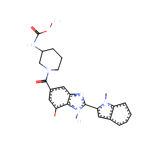 CCn1c(-c2nc3cc(C(=O)N4CCCC(NC(=O)OC(C)(C)C)C4)cc(O)c3n2C)cc2ccccc21